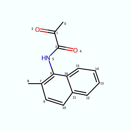 CC(=O)C(=O)Nc1c(C)ccc2ccccc12